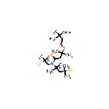 BC(C)(C)CN(C(=O)CC(C)(C)OCCC(C)(C)OC)C(C)(C)CC(C)(C)S